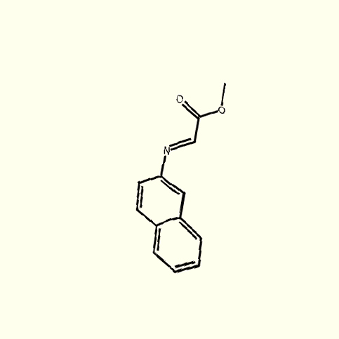 COC(=O)C=Nc1ccc2ccccc2c1